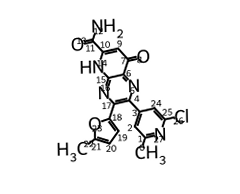 Cc1cc(-c2nc3c(=O)cc(C(N)=O)[nH]c3nc2-c2ccc(C)o2)cc(Cl)n1